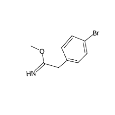 COC(=N)Cc1ccc(Br)cc1